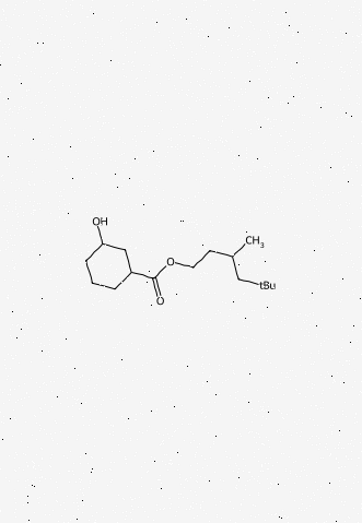 CC(CCOC(=O)C1CCCC(O)C1)CC(C)(C)C